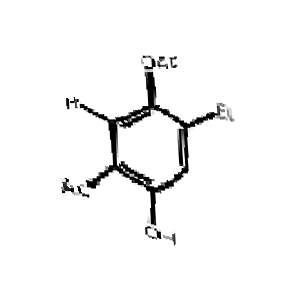 CCc1cc(O)c(C(C)=O)c(C(C)C)c1OC(C)=O